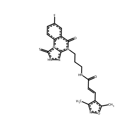 Cc1noc(C)c1C=CC(=O)NCCCn1c(=O)c2cc(F)ccc2n2c(=S)[nH]nc12